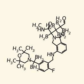 BC(B)(c1ccc(F)c(CNc2cccc3c2CN(C(B)(C(=O)NC)C(B)(B)C(B)(B)C=O)C3=O)c1)N1CC(C)(C)OC(C)(C)C1